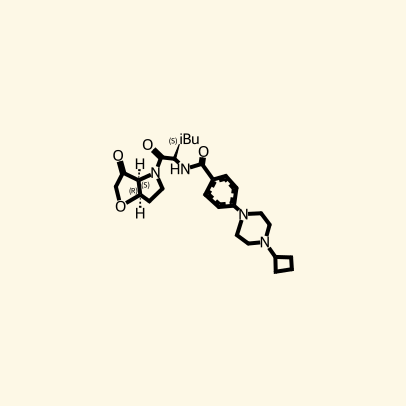 CC[C@H](C)C(NC(=O)c1ccc(N2CCN(C3CCC3)CC2)cc1)C(=O)N1CC[C@H]2OCC(=O)[C@H]21